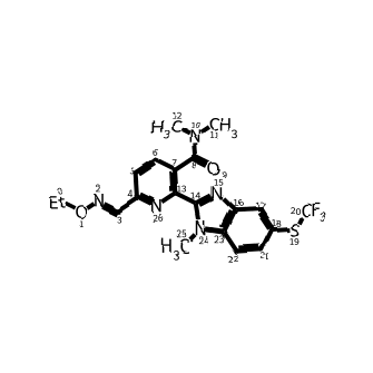 CCON=Cc1ccc(C(=O)N(C)C)c(-c2nc3cc(SC(F)(F)F)ccc3n2C)n1